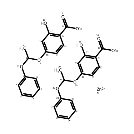 CC(Oc1ccccc1)Oc1ccc(C(=O)[O-])c(O)c1.CC(Oc1ccccc1)Oc1ccc(C(=O)[O-])c(O)c1.[Zn+2]